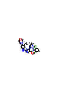 CNCc1cc(Nc2ncc3c(n2)N2CCN=C2N(c2c(Cl)cccc2Cl)C3=O)ccc1N1CCOCC1